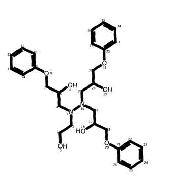 OCCN(CC(O)COc1ccccc1)N(CC(O)COc1ccccc1)CC(O)COc1ccccc1